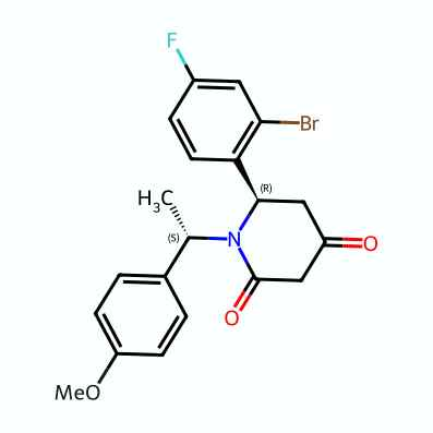 COc1ccc([C@H](C)N2C(=O)CC(=O)C[C@@H]2c2ccc(F)cc2Br)cc1